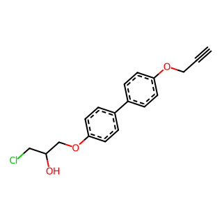 C#CCOc1ccc(-c2ccc(OCC(O)CCl)cc2)cc1